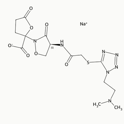 CN(C)CCn1nnnc1SCC(=O)N[C@H]1CON(C2(C(=O)[O-])CCC(=O)O2)C1=O.[Na+]